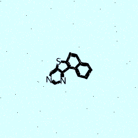 c1ccc2c(c1)ccc1sc3cncnc3c12